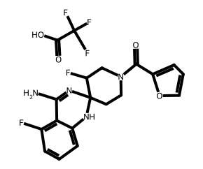 NC1=NC2(CCN(C(=O)c3ccco3)CC2F)Nc2cccc(F)c21.O=C(O)C(F)(F)F